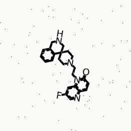 O=c1ccc2ncc(F)cc2n1CCN1CCC2(CC1)CNCc1ccccc12